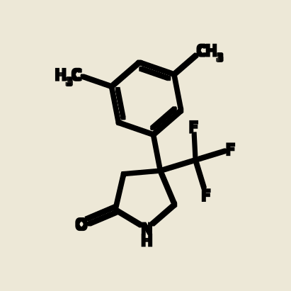 Cc1cc(C)cc(C2(C(F)(F)F)CNC(=O)C2)c1